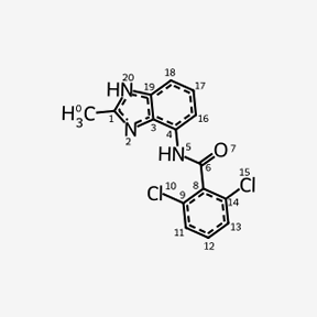 Cc1nc2c(NC(=O)c3c(Cl)cccc3Cl)cccc2[nH]1